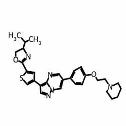 CC(C)C1COC(c2cc(-c3cnn4cc(-c5ccc(OCCN6CCCCC6)cc5)cnc34)cs2)=N1